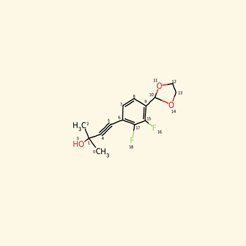 CC(C)(O)C#Cc1ccc(C2OCCO2)c(F)c1F